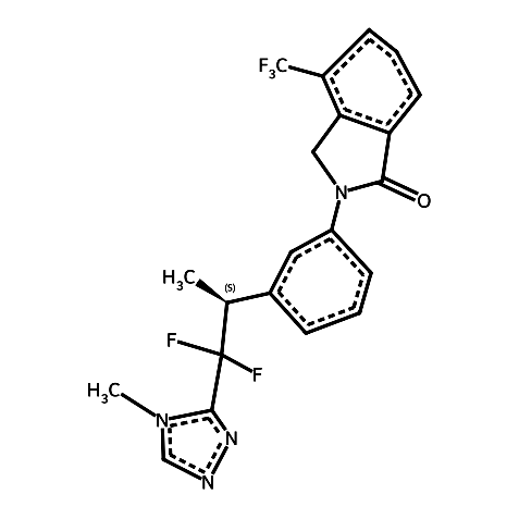 C[C@@H](c1cccc(N2Cc3c(cccc3C(F)(F)F)C2=O)c1)C(F)(F)c1nncn1C